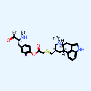 CCCN1C[C@H](CSCC(=O)Oc2ccc(C[C@H](NCC)C(=O)CC)cc2I)C[C@@H]2c3cccc4[nH]cc(c34)C[C@H]21